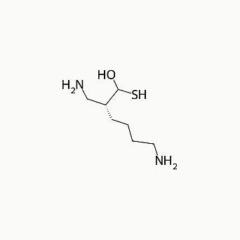 NCCCC[C@H](CN)C(O)S